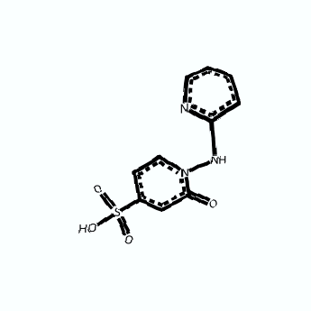 O=c1cc(S(=O)(=O)O)ccn1Nc1ccccn1